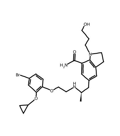 C[C@H](Cc1cc2c(c(C(N)=O)c1)N(CCCO)CC2)NCCOc1ccc(Br)cc1OC1CC1